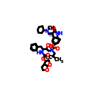 CC(C)CN(CC(O)C(Cc1ccccc1)NC(=O)OC1COC2OCCC12)S(=O)(=O)c1ccc2c(c1)/C(=C/N(C)C1CCCCC1)C(=O)N2